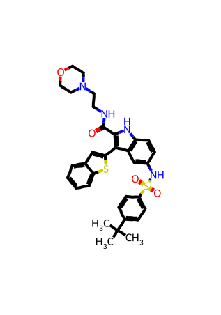 CC(C)(C)c1ccc(S(=O)(=O)Nc2ccc3[nH]c(C(=O)NCCN4CCOCC4)c(-c4cc5ccccc5s4)c3c2)cc1